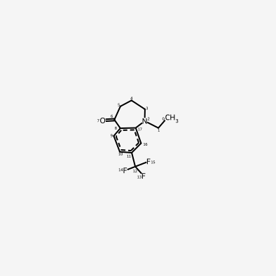 CCN1CCCC(=O)c2ccc(C(F)(F)F)cc21